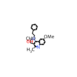 COc1ccc2nc(C)c3c(c2c1)N(CCc1ccccc1)CC3.O=CO